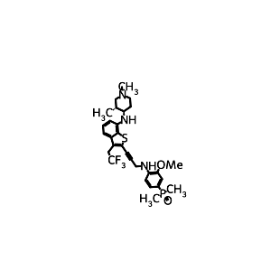 COc1cc(P(C)(C)=O)ccc1NCC#Cc1sc2c(N[C@@H]3CCN(C)C[C@H]3C)cccc2c1CC(F)(F)F